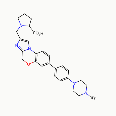 CC(C)N1CCN(c2ccc(-c3ccc4c(c3)OCc3nc(CN5CCCC5C(=O)O)cn3-4)cc2)CC1